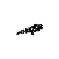 N#Cc1ccc(-c2ncc(CNC(=O)c3ccc4c(c3)NC(=O)c3cccc(F)c3S4(=O)=O)s2)cc1